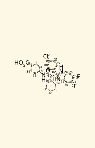 O=C(O)c1ccc(NC(=O)C(C2CCCCC2)C2(c3ccc(Cl)cc3)Nc3cc(F)c(F)cc3N2)cc1